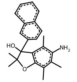 Cc1c(C)c2c(c(C)c1N)C(O)(c1ccc3ccccc3c1)C(C)(C)O2